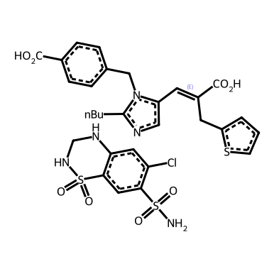 CCCCc1ncc(/C=C(\Cc2cccs2)C(=O)O)n1Cc1ccc(C(=O)O)cc1.NS(=O)(=O)c1cc2c(cc1Cl)NCNS2(=O)=O